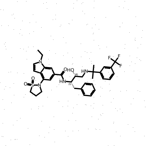 CCn1ccc2c(N3CCCS3(=O)=O)cc(C(=O)N[C@@H](Cc3ccccc3)[C@H](O)CNC(C)(C)c3cccc(C(F)(F)F)c3)cc21